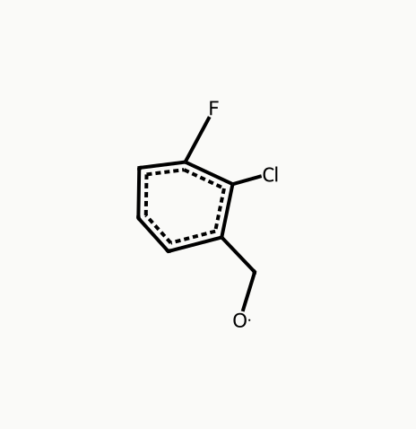 [O]Cc1cccc(F)c1Cl